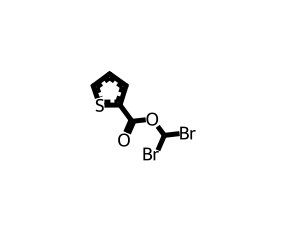 O=C(OC(Br)Br)c1cccs1